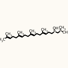 CC(C)=CCC/C(C)=C/CC/C(C)=C/CC/C(C)=C/CCP(O)CP(C)C